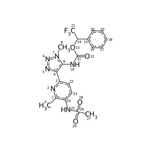 Cc1nc(-c2nnn(C)c2NC(=O)OC(c2ccccc2)C(F)(F)F)ccc1NS(C)(=O)=O